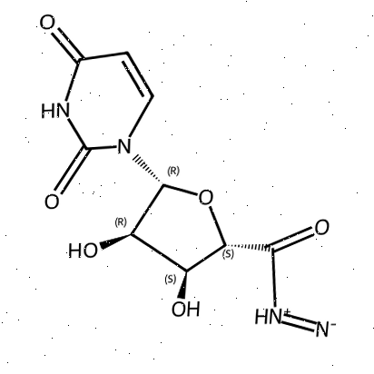 [N-]=[NH+]C(=O)[C@H]1O[C@@H](n2ccc(=O)[nH]c2=O)[C@H](O)[C@@H]1O